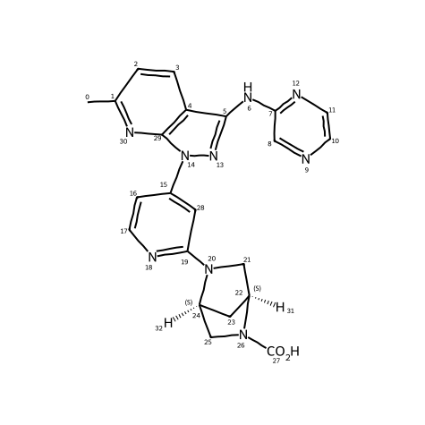 Cc1ccc2c(Nc3cnccn3)nn(-c3ccnc(N4C[C@@H]5C[C@H]4CN5C(=O)O)c3)c2n1